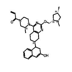 C=CC(=O)N1CCN(c2nc(OC[C@@H]3C[C@H](F)CN3C)nc3c2CC[C@H](C2CC(O)=Cc4ccccc42)C3)[C@@H](C)C1